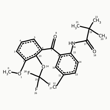 COc1cccc(C(=O)c2cc(Cl)ccc2NC(=O)C(C)(C)C)c1OC(F)(F)F